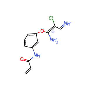 C=CC(=O)Nc1cccc(O/C(N)=C(\Cl)C=N)c1